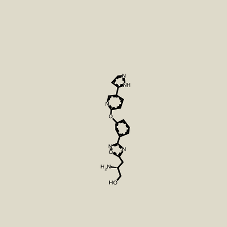 N[C@H](CO)Cc1nc(-c2cccc(Oc3ccc(-c4ccn[nH]4)cn3)c2)no1